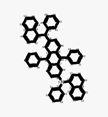 c1ccc(-c2c3ccc(N(c4ccccc4)c4cccc5ccccc45)cc3c(-c3ccccc3)c3ccc(C(c4ccccc4)c4cccc5ccccc45)cc23)cc1